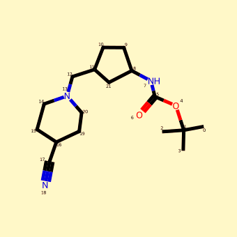 CC(C)(C)OC(=O)NC1CCC(CN2CCC(C#N)CC2)C1